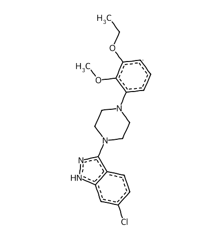 CCOc1[c]ccc(N2CCN(c3n[nH]c4cc(Cl)ccc34)CC2)c1OC